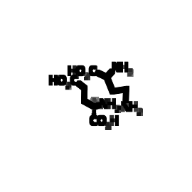 NCCC(N)C(=O)O.N[C@@H](CCC(=O)O)C(=O)O